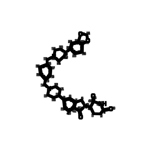 O=C1CCC(N2Cc3cc(C4CCN(Cc5ccc(CN6CCN(c7ccc8c(c7)OCO8)CC6)cc5)CC4)ccc3C2=O)C(=O)N1